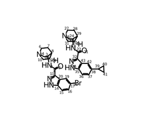 O=C(N[C@H]1CN2CCC1CC2)c1n[nH]c2ccc(Br)cc12.O=C(N[C@H]1CN2CCC1CC2)c1n[nH]c2ccc(C3CC3)cc12